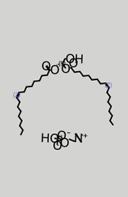 CCCCCCCC/C=C\CCCCCCCC(=O)OC[C@H](CO)OC(=O)CCCCCCC/C=C\CCCCCCCC.C[N+](C)(C)CCOP(=O)([O-])O